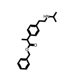 CC(C)NCCc1ccc(C(C)C(=O)OCc2ccccc2)cc1